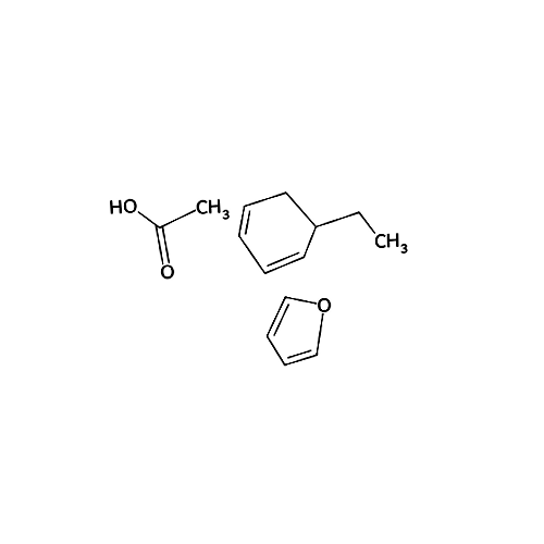 CC(=O)O.CCC1C=CC=CC1.c1ccoc1